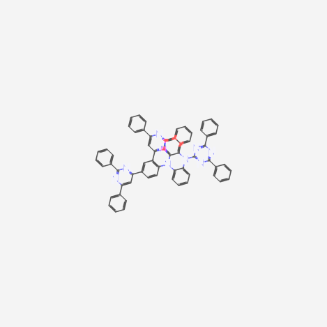 c1ccc(-c2cc(-c3ccc(N4c5ccccc5N(c5nc(-c6ccccc6)nc(-c6ccccc6)n5)c5ccccc54)c(-c4cc(-c5ccccc5)nc(-c5ccccc5)n4)c3)nc(-c3ccccc3)n2)cc1